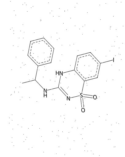 CC(NC1=NS(=O)(=O)c2cc(I)ccc2N1)c1ccccc1